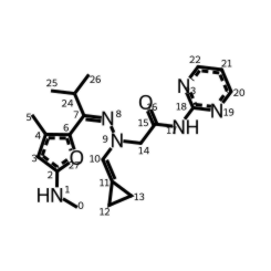 CNc1cc(C)c(/C(=N\N(C=C2CC2)CC(=O)Nc2ncccn2)C(C)C)o1